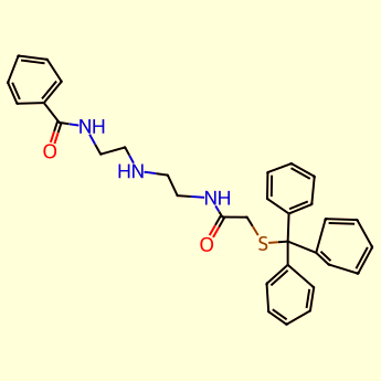 O=C(CSC(c1ccccc1)(c1ccccc1)c1ccccc1)NCCNCCNC(=O)c1ccccc1